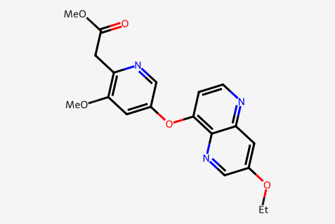 CCOc1cnc2c(Oc3cnc(CC(=O)OC)c(OC)c3)ccnc2c1